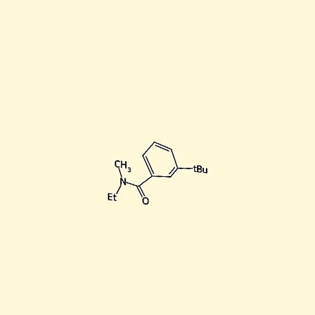 CCN(C)C(=O)c1cccc(C(C)(C)C)c1